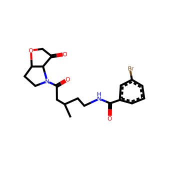 CC(CCNC(=O)c1cccc(Br)c1)CC(=O)N1CCC2OCC(=O)C21